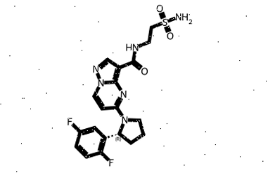 NS(=O)(=O)CCNC(=O)c1cnn2ccc(N3CCC[C@@H]3c3cc(F)ccc3F)nc12